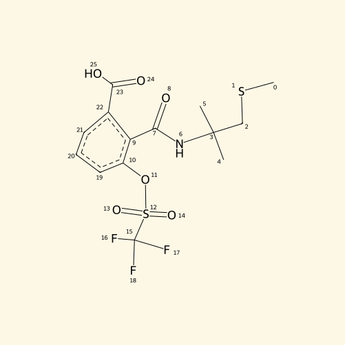 CSCC(C)(C)NC(=O)c1c(OS(=O)(=O)C(F)(F)F)cccc1C(=O)O